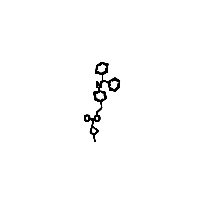 CC1CC(C(=O)OCCc2ccc(N=C(c3ccccc3)c3ccccc3)cc2)C1